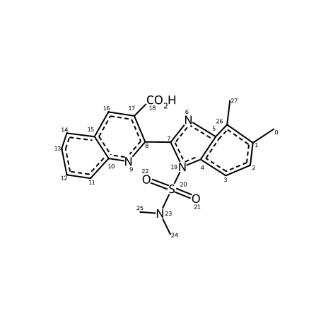 Cc1ccc2c(nc(-c3nc4ccccc4cc3C(=O)O)n2S(=O)(=O)N(C)C)c1C